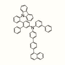 c1ccc(-c2cccc(N(c3ccc(-c4ccc(-c5cccc6ccccc56)cc4)cc3)c3ccc(-c4ccccc4-n4c5ccccc5c5ccccc54)c(-c4ccccc4)c3)c2)cc1